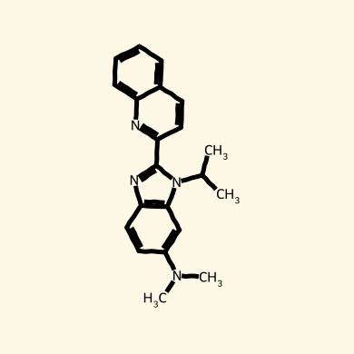 CC(C)n1c(-c2ccc3ccccc3n2)nc2ccc(N(C)C)cc21